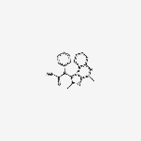 CNC(=O)N(c1ccccc1)c1c(C)nc2c(C)nc3ccccc3n12